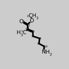 COC(=O)C(C)=CCCCCN